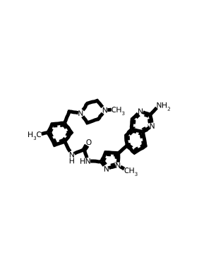 Cc1cc(CN2CCN(C)CC2)cc(NC(=O)Nc2cc(-c3ccc4nc(N)ncc4c3)n(C)n2)c1